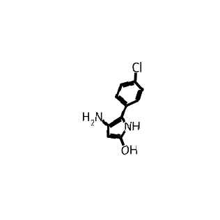 Nc1cc(O)[nH]c1-c1ccc(Cl)cc1